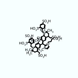 Cn1cc[n+](CCCC(=O)O)c1C1=c2cc3c(cc2[Si](C)(C)c2cc4c(cc21)C(CS(=O)(=O)O)CC(C)(C)N4Cc1ccc(S(=O)(=O)O)cc1S(=O)(=O)O)=[N+](Cc1ccc(S(=O)(=O)O)cc1S(=O)(=O)O)C(C)(C)CC3CS(=O)(=O)O